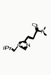 CC(C)Cn1cnc(C=CC(=O)N(C)C)c1